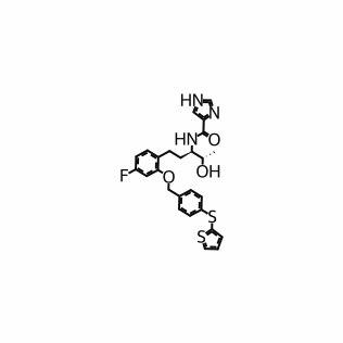 C[C@H](O)[C@@H](CCc1ccc(F)cc1OCc1ccc(Sc2cccs2)cc1)NC(=O)c1c[nH]cn1